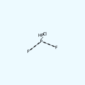 FC#CC#CC#CP(C#CC#CC#CF)CCPCl